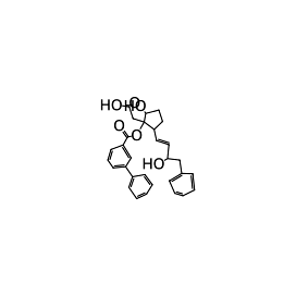 O=C(O)CC1(OC(=O)c2cccc(-c3ccccc3)c2)C(O)CCC1C=CC(O)Cc1ccccc1